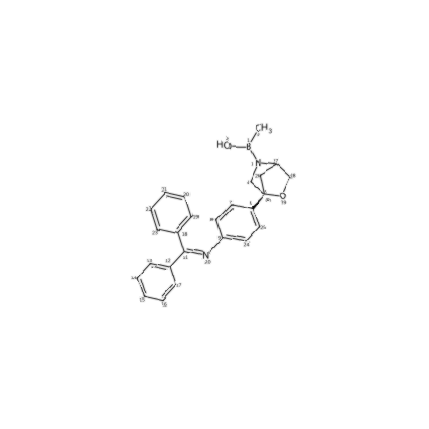 CB(O)N1C[C@]2(c3ccc(N=C(c4ccccc4)c4ccccc4)cc3)CC1CO2